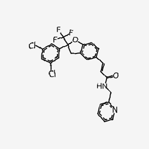 O=C(C=Cc1ccc2c(c1)CC(c1cc(Cl)cc(Cl)c1)(C(F)(F)F)O2)NCc1ccccn1